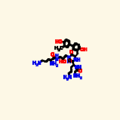 Cc1cc(-c2ccc(O)c(C[C@H](NC(=O)[C@H](CCCN)NC(=O)CN)C(=O)NCC(O)CNC(=O)[C@@H](N)CCCN)c2)ccc1O